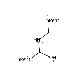 CCCCCCNC(O)CCCCC